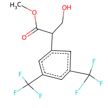 COC(=O)C(CO)c1cc(C(F)(F)F)cc(C(F)(F)F)c1